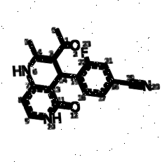 CC(=O)C1=C(C)Nc2cc[nH]c(=O)c2C1c1ccc(C#N)cc1F